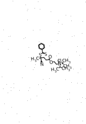 CC(C)[N+](Cl)(CCOC(=O)CCC(C)(C#N)SC(=S)c1ccccc1)C(C)C